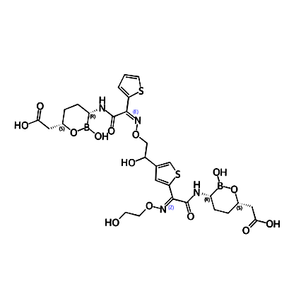 O=C(O)C[C@@H]1CC[C@H](NC(=O)/C(=N/OCCO)c2cc(C(O)CO/N=C(\C(=O)N[C@H]3CC[C@@H](CC(=O)O)OB3O)c3cccs3)cs2)B(O)O1